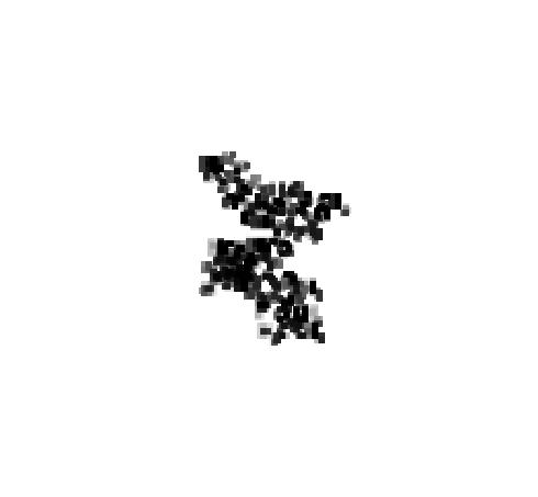 COc1c(F)cc(C(NC(=O)N2CCN(C3CCNCC3)C(=O)C2=O)C(=O)N[C@@H](Cc2ccc(F)c(C(=O)OC(C)(C)C)c2OC)B2O[C@@H]3C[C@@H]4C[C@@H](C4(C)C)[C@]3(C)O2)c(Cl)c1OC